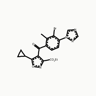 CCOC(=O)c1noc(C2CC2)c1C(=O)c1ccc(-n2cncn2)c(Br)c1C